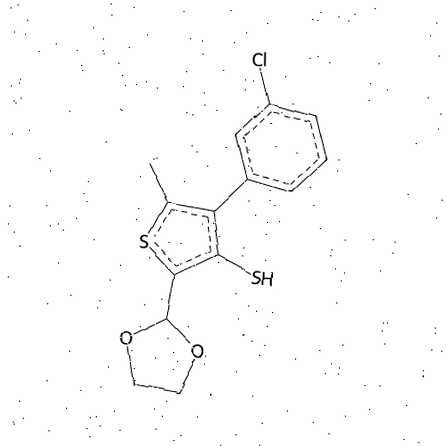 Cc1sc(C2OCCO2)c(S)c1-c1cccc(Cl)c1